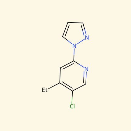 CCc1cc(-n2cccn2)ncc1Cl